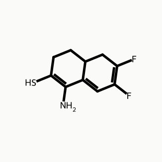 NC1=C(S)CCC2CC(F)=C(F)C=C12